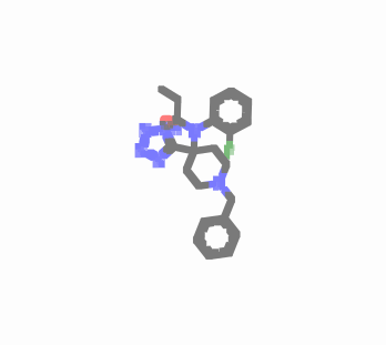 CCC(=O)N(c1ccccc1F)C1(c2nnn[nH]2)CCN(Cc2ccccc2)CC1